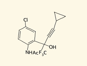 CC(=O)Nc1ccc(Cl)cc1C(O)(C#CC1CC1)C(F)(F)F